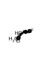 Cc1cc(OCC(O)CCN2CCN(c3ccc(F)cc3)CC2)ccc1Cl